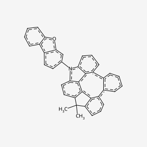 CC1(C)c2cccc3c4ccccc4c4cccc5c4c4c(c1ccc4n5-c1ccc4c(c1)oc1ccccc14)c23